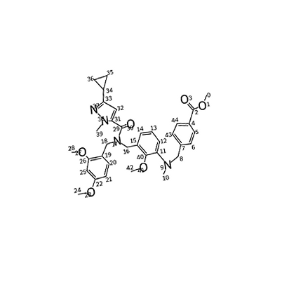 COC(=O)c1ccc(CN(C)c2cccc(CN(Cc3ccc(OC)cc3OC)C(=O)c3cc(C4CC4)nn3C)c2OC)cc1